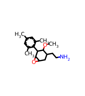 COC1C(CCN)CC2OC2C1c1c(C)cc(C)cc1C